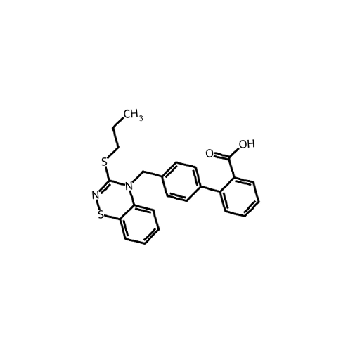 CCCSC1=NSc2ccccc2N1Cc1ccc(-c2ccccc2C(=O)O)cc1